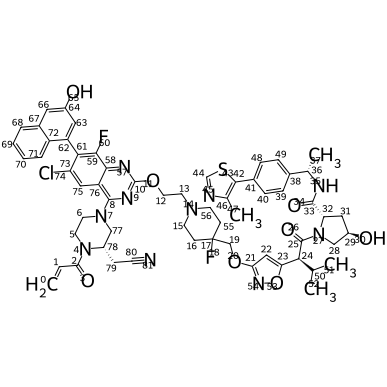 C=CC(=O)N1CCN(c2nc(OCCN3CCC(F)(COc4cc([C@@H](C(=O)N5C[C@H](O)C[C@H]5C(=O)N[C@@H](C)c5ccc(-c6scnc6C)cc5)C(C)C)on4)CC3)nc3c(F)c(-c4cc(O)cc5ccccc45)c(Cl)cc23)C[C@@H]1CC#N